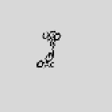 CC(=O)C1(c2ccccc2)CCN(CCCOc2cccc3c2N(C)C(=O)CC3)CC1